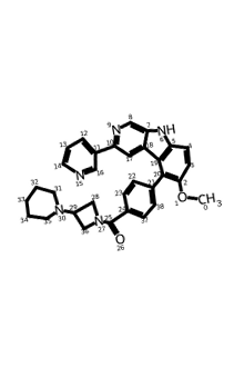 COc1ccc2[nH]c3cnc(-c4cccnc4)cc3c2c1-c1ccc(C(=O)N2CC(N3CCCCC3)C2)cc1